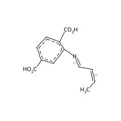 C/C=C\C=N\c1cc(C(=O)O)ccc1C(=O)O